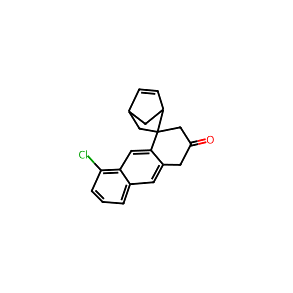 O=C1Cc2cc3cccc(Cl)c3cc2C2(C1)CC1C=CC2C1